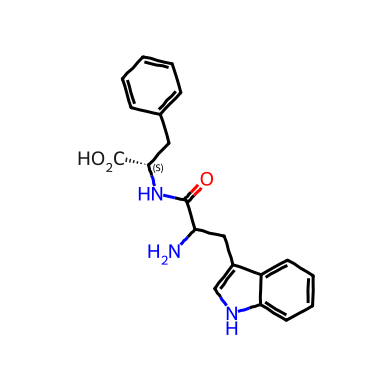 NC(Cc1c[nH]c2ccccc12)C(=O)N[C@@H](Cc1ccccc1)C(=O)O